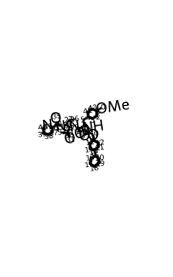 COc1ccc(CC(NC(=O)Oc2ccc(-c3ccccc3)cc2)C(=O)N2CCC3C2C(=O)CN3C(=O)c2ccccn2)cc1